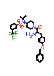 CC(C)N(C1CCN(C(=O)C(N)Cc2ccc(OCc3ccccc3)cc2)CC1)S(=O)(=O)c1cccc(C(F)(F)F)c1